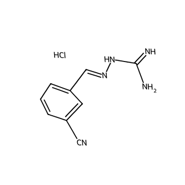 Cl.N#Cc1cccc(C=NNC(=N)N)c1